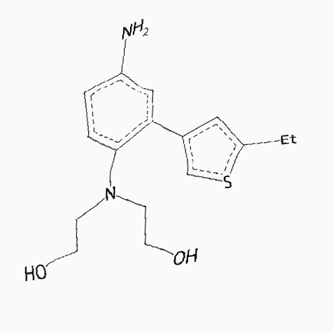 CCc1cc(-c2cc(N)ccc2N(CCO)CCO)cs1